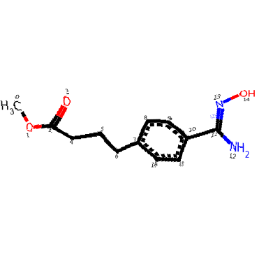 COC(=O)CCCc1ccc(/C(N)=N/O)cc1